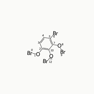 BrOc1ccc(Br)c(OBr)c1OBr